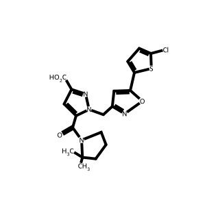 CC1(C)CCCN1C(=O)c1cc(C(=O)O)nn1Cc1cc(-c2ccc(Cl)s2)on1